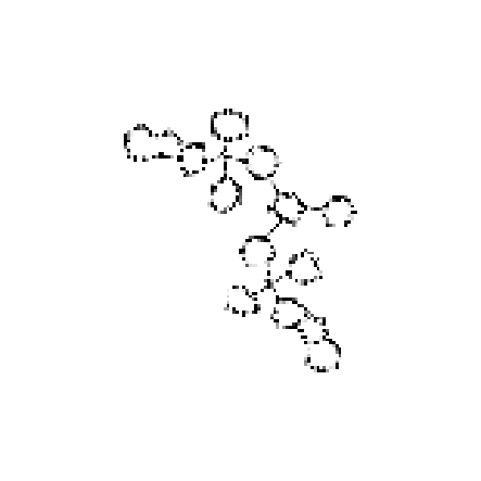 c1ccc(-c2nc(-c3cccc([Si](c4ccccc4)(c4ccccc4)c4ccc5c(c4)sc4ccccc45)c3)nc(-c3cccc([Si](c4ccccc4)(c4ccccc4)c4ccc5c(c4)sc4ccccc45)c3)n2)cc1